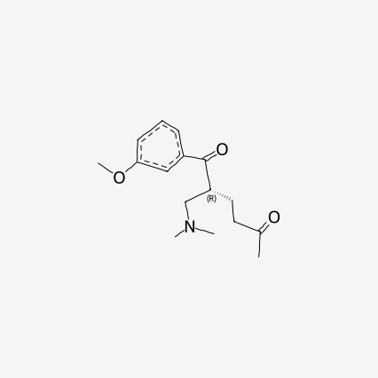 COc1cccc(C(=O)[C@H](CCC(C)=O)CN(C)C)c1